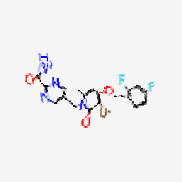 Cc1cc(OCc2ccc(F)cc2F)c(Br)c(=O)n1Cc1cnc(C(N)=O)nc1